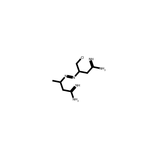 CC(CC(=N)N)N=NC(CCl)CC(=N)N